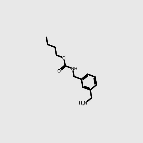 CCCCOC(=O)NCc1cccc(CN)c1